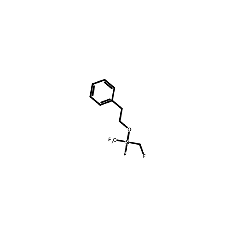 FC[Si](F)(OCCc1ccccc1)C(F)(F)F